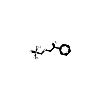 C=C(CSCP(=O)(O)O)c1ccccc1